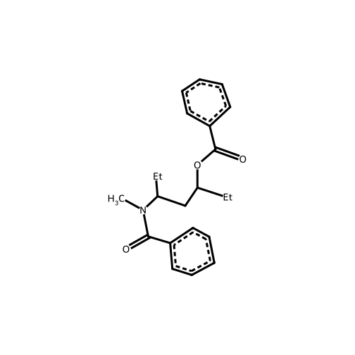 CCC(CC(CC)N(C)C(=O)c1ccccc1)OC(=O)c1ccccc1